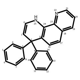 C1=CC(c2ccccc2)(c2ccccc2)c2ccc3cccnc3c2N1